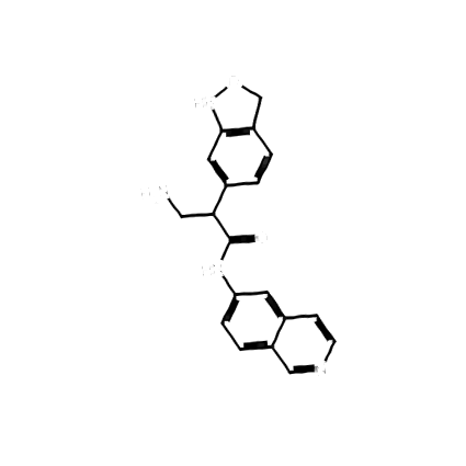 NCC(C(=O)Nc1ccc2cnccc2c1)c1ccc2c(c1)BOC2